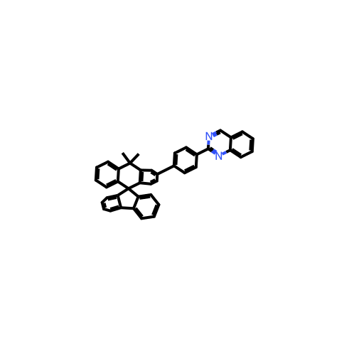 CC1(C)c2ccccc2C2(c3ccccc3-c3ccccc32)c2ccc(-c3ccc(-c4ncc5ccccc5n4)cc3)cc21